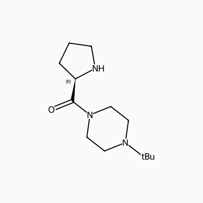 CC(C)(C)N1CCN(C(=O)[C@H]2CCCN2)CC1